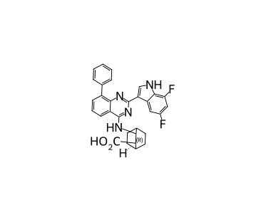 O=C(O)[C@@H]1C2CCC(CC2)C1Nc1nc(-c2c[nH]c3c(F)cc(F)cc23)nc2c(-c3ccccc3)cccc12